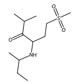 CCC(C)NC(CCS(C)(=O)=O)C(=O)C(C)C